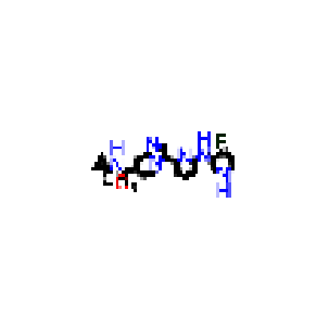 CC1(NC(=O)c2ccn3c(-c4cccc(N[C@H]5CNCC[C@@H]5F)n4)cnc3c2)CC1